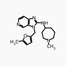 Cc1ccc(Cn2c(NC3CCCN(C)CC3)nc3ccncc32)o1